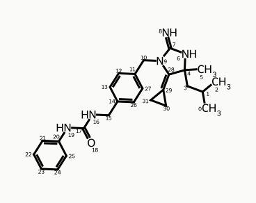 CC(C)CC1(C)NC(=N)N(Cc2ccc(CNC(=O)Nc3ccccc3)cc2)C1=C1CC1